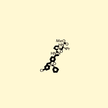 COC(=O)N[C@H](C(=O)N1CCC[C@H]1c1ncc(-c2ccc3c(c2)O[C@@H](c2ccccc2)n2c-3cc3cc(Cl)ccc32)[nH]1)C(C)C